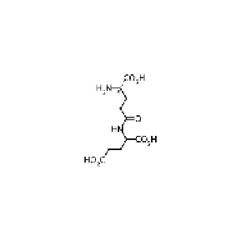 N[C@@H](CCC(=O)NC(CCC(=O)O)C(=O)O)C(=O)O